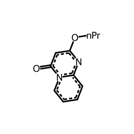 CCCOc1cc(=O)n2ccccc2n1